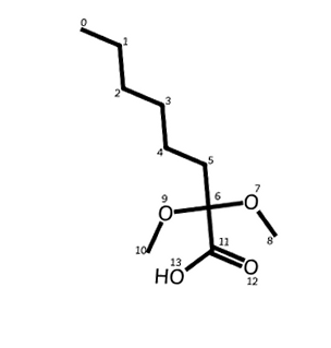 CCCCCCC(OC)(OC)C(=O)O